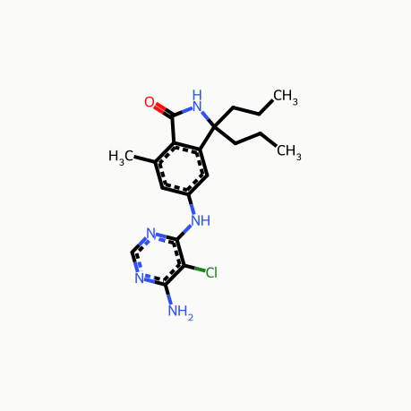 CCCC1(CCC)NC(=O)c2c(C)cc(Nc3ncnc(N)c3Cl)cc21